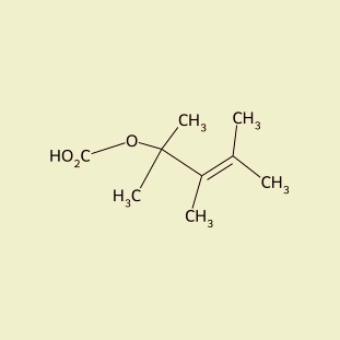 CC(C)=C(C)C(C)(C)OC(=O)O